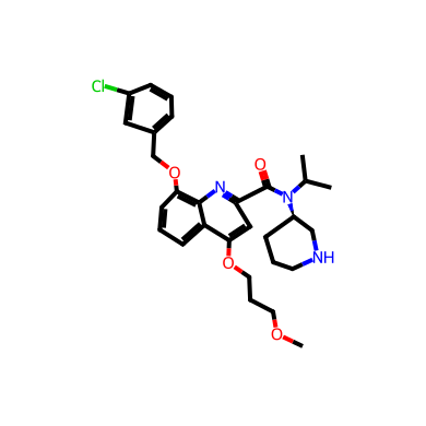 COCCCOc1cc(C(=O)N(C(C)C)[C@@H]2CCCNC2)nc2c(OCc3cccc(Cl)c3)cccc12